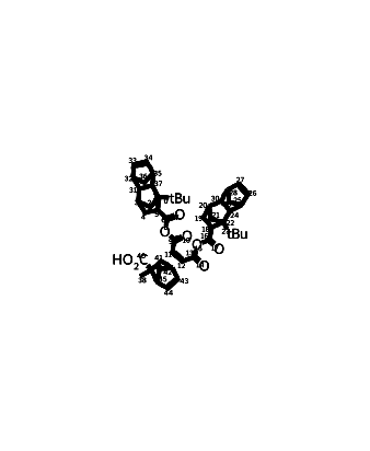 CC(C)(C)C12CC(CC1C(=O)OC(=O)/C=C\C(=O)OC(=O)C1CC3CC1(C(C)(C)C)C1C4C=CC(C4)C31)C1C3C=CC(C3)C12.CC1(C(=O)O)CC2C=CC1C2